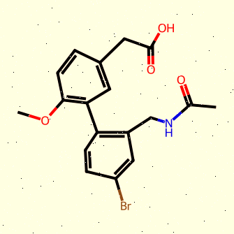 COc1ccc(CC(=O)O)cc1-c1ccc(Br)cc1CNC(C)=O